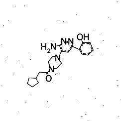 Nc1nnc(-c2ccccc2O)cc1N1CCN(C(=O)CC2CCCC2)CC1